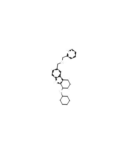 c1ccc(CNCc2ccc3[nH]c4c(c3c2)CCCC4NC2CCCCC2)nc1